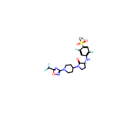 CS(=O)(=O)c1cc(F)c(N[C@H]2CCN(C3CCN(c4noc(C(F)F)n4)CC3)C2=O)cc1F